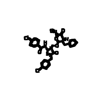 CC(C)(C)OC(=O)NC(Cc1ccccc1)C(=O)OCN1C(=O)N(Cc2ccc(Cl)cc2)SC1NC(=O)c1ccc(Cl)cc1